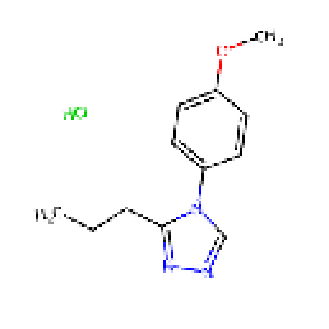 CCCc1nncn1-c1ccc(OC)cc1.Cl